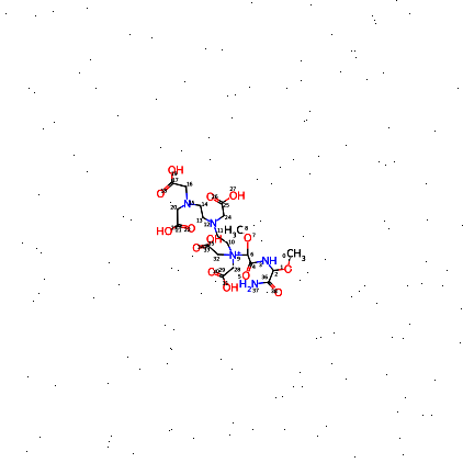 COC(NC(=O)C(OC)[N+](CCN(CCN(CC(=O)O)CC(=O)O)CC(=O)O)(CC(=O)O)CC(=O)O)C(N)=O